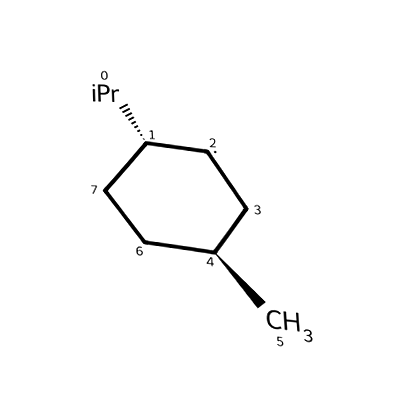 CC(C)[C@@H]1[CH]C[C@@H](C)CC1